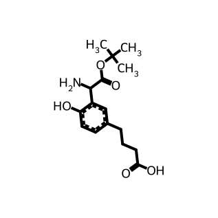 CC(C)(C)OC(=O)C(N)c1cc(CCCC(=O)O)ccc1O